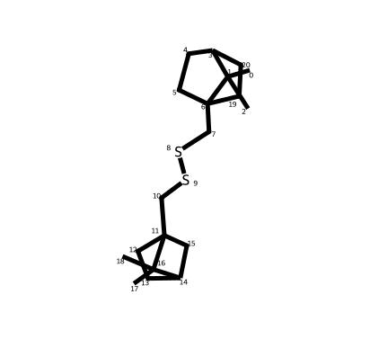 CC1(C)C2CCC1(CSSCC13CCC(C1)C3(C)C)CC2